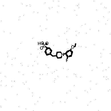 CCOc1ccc(F)c(N2CCC(Cc3ccc(S(=O)(=O)O)cc3)CC2)c1